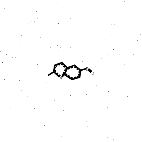 Cc1ccc2cc(P=O)ccc2n1